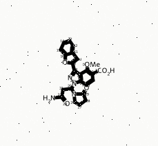 COc1c(C(=O)O)ccc2c1c(-c1cc3ccccc3o1)nn2C(CC(N)=O)N1CCCC1=O